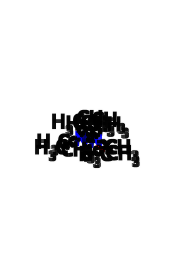 CC(C)(C)c1ccc(N2c3ccc(C(C)(C)C)cc3B3c4cc(C(C)(C)C)ccc4N(c4ccc(C(C)(C)C)cc4)c4cc(-c5ccccc5-c5ccccc5)cc2c43)cc1